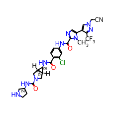 Cn1c(-c2cn(CC#N)nc2C(F)(F)F)cnc1C(=O)Nc1ccc(C(=O)N[C@H]2[C@@H]3CN(C(=O)N[C@H]4CCNC4)C[C@@H]32)c(Cl)c1